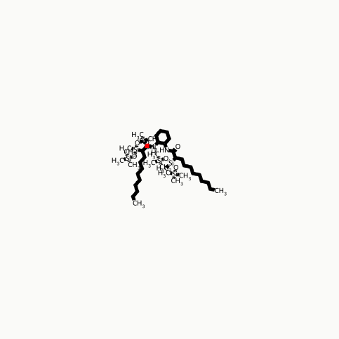 CCCCCCCCCC(C(=O)NC1CCCCC1NC(=O)C(CCCCCCCCC)[Si](C)(O[Si](C)(C)C)O[Si](C)(C)C)[Si](C)(O[Si](C)(C)C)O[Si](C)(C)C